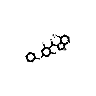 Nc1ccnc2[nH]cc(C(=O)c3c(F)cc(Oc4ccccc4)cc3F)c12